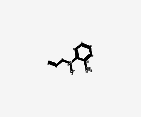 C=CC[S+]([O-])c1ccccc1N